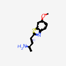 C=C(N)/C=C/c1nc2ccc(OC)cc2s1